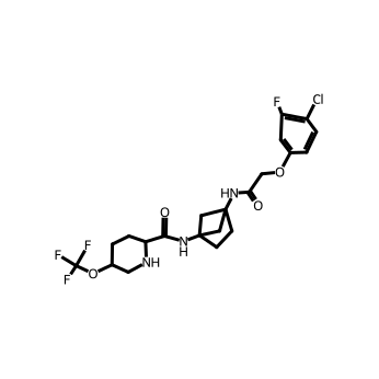 O=C(COc1ccc(Cl)c(F)c1)NC12CCC(NC(=O)C3CCC(OC(F)(F)F)CN3)(C1)C2